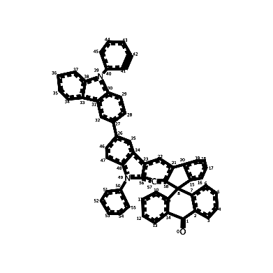 O=C1c2ccccc2C2(c3ccccc31)c1ccccc1-c1cc3c4cc(-c5ccc6c(c5)c5ccccc5n6-c5c#cccc5)ccc4n(-c4ccccc4)c3cc12